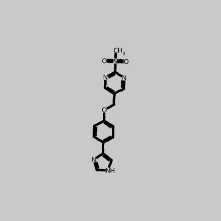 CS(=O)(=O)c1ncc(COc2ccc(-c3c[nH]cn3)cc2)cn1